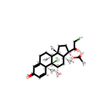 CCC(=O)O[C@@]1(C(=O)CF)CC[C@H]2[C@@H]3CCC4=CC(=O)C=C[C@]4(C)[C@@]3(Cl)[C@@H](O)C[C@@]21C